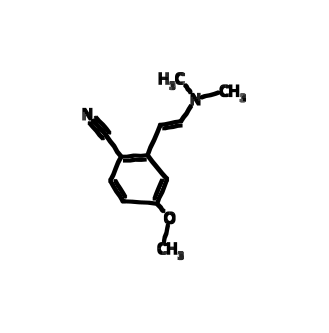 COc1ccc(C#N)c(/C=C/N(C)C)c1